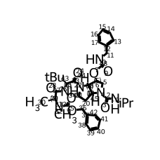 CC(C)NC(=O)N1C[C@H](OC(=O)NCc2ccccc2)[C@@H]2[C@H]1CCN2C(=O)[C@@H](NC(=O)[C@H](C)N(C)C(=O)OCc1ccccc1)C(C)(C)C